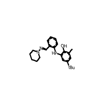 Cc1cc(C(C)(C)C)cc(Pc2ccccc2/C=N/N2CCCCC2)c1O